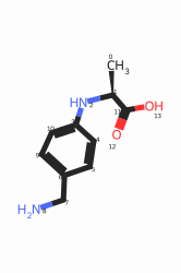 C[C@H](Nc1ccc(CN)cc1)C(=O)O